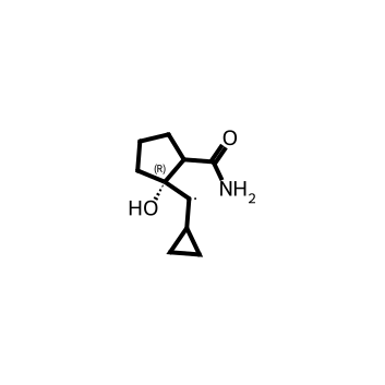 NC(=O)C1CCC[C@]1(O)[CH]C1CC1